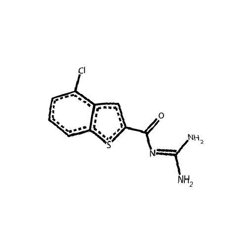 NC(N)=NC(=O)c1cc2c(Cl)cccc2s1